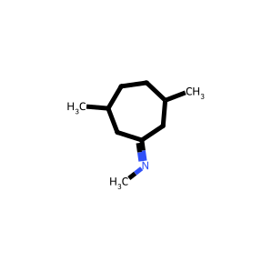 CN=C1CC(C)CCC(C)C1